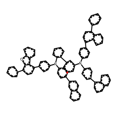 c1ccc(-c2ccc(-c3ccc(N(c4ccc(-c5cccc6ccccc56)cc4)c4cccc(-c5ccccc5N(c5ccc(-c6ccc7ccccc7c6)cc5)c5ccc(-c6ccc(-c7ccccc7)c7oc8ccccc8c67)cc5)c4)cc3)c3ccccc23)cc1